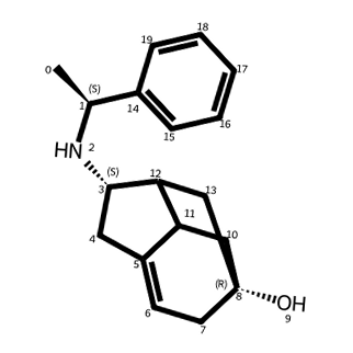 C[C@H](N[C@H]1CC2=CC[C@]3(O)CC2C1C3)c1ccccc1